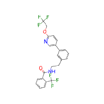 O=C(NCCc1cccc(-c2ccc(OCC(F)(F)F)nc2)c1)c1ccccc1C(F)(F)F